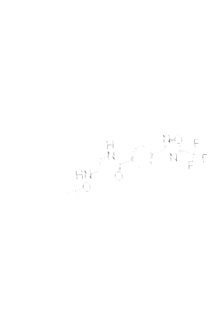 CC(CNOC(C)(C)C)NC(=O)c1ccc(-c2noc(C(F)(F)F)n2)cc1